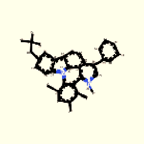 Cc1cc(C)c2c(c1C)c1c3c(ccc4c5cc(CC(C)(C)C)ccc5n2c43)c(-c2ccccc2)c[n+]1C